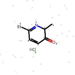 CCC1=NC(C)C(=O)C=C1.Cl